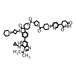 CC(C)n1cnc2cc(-c3ccc4c(c3)N(C3CC(N5CCCCC5)C3)C(=O)C43CCN(C(=O)[C@@H]4CCN(C(=O)C5CCN(c6ccc(C7CCC(=O)NC7=O)cn6)CC5)C4)CC3)nc(NC3CC3)c21